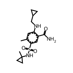 Cc1cc(NCC2CC2)c(C(N)=O)cc1S(=O)(=O)NC1(C)CC1